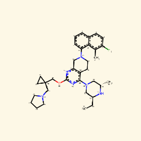 Cc1c(F)ccc2cccc(N3CCc4c(nc(OCC5(CN6CCCC6)CC5)nc4N4C[C@H](CC#N)N[C@@H](C)C4)C3)c12